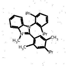 Cc1cc(C(C)C)c(C)cc1-c1n(-c2c(C(C)C)cccc2C(C)C)c2ccccc2[n+]1C